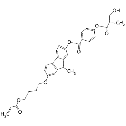 C=CC(=O)OCCCCOc1ccc2c(c1)C(C)c1cc(OC(=O)c3ccc(OC(=O)C(=C)CO)cc3)ccc1-2